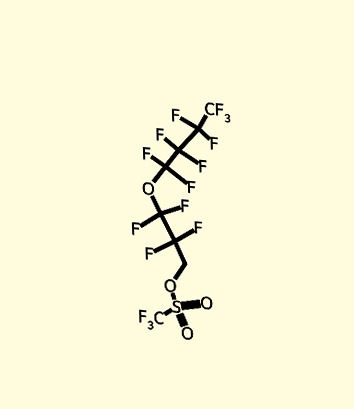 O=S(=O)(OCC(F)(F)C(F)(F)OC(F)(F)C(F)(F)C(F)(F)C(F)(F)F)C(F)(F)F